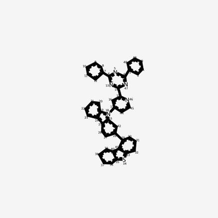 c1ccc(-c2nc(-c3ccccc3)nc(-c3cc(-n4c5ccccc5c5ccc(-c6cccc7sc8ccccc8c67)cc54)ccn3)n2)cc1